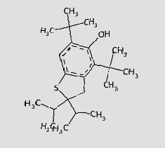 CC(C)C1(C(C)C)Cc2c(cc(C(C)(C)C)c(O)c2C(C)(C)C)S1